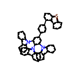 c1ccc2c(c1)sc1cccc(-c3ccc(-c4cc(-n5c6ccccc6c6ccccc65)c(-n5c6ccccc6c6ccccc65)c(-n5c6ccccc6c6ccccc65)c4)cc3)c12